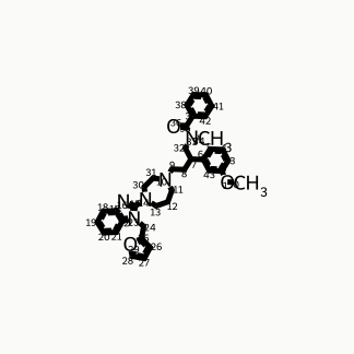 COc1cccc(C(CCN2CCCN(c3nc4ccccc4n3Cc3ccco3)CC2)CN(C)C(=O)c2ccccc2)c1